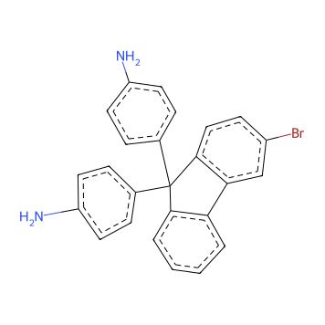 Nc1ccc(C2(c3ccc(N)cc3)c3ccccc3-c3cc(Br)ccc32)cc1